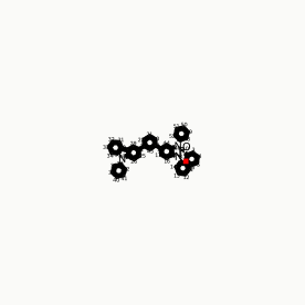 O=P1(c2ccccc2)N(c2ccccc2)c2ccc(-c3cccc(-c4ccc5c(c4)c4ccccc4n5-c4ccccc4)c3)cc2N1c1ccccc1